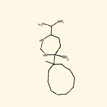 CC1(C2(N)CCC(C(N)N)NCN2)CCCCCCCCC1